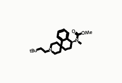 COC(=O)N(C)[C@H]1CCC2(CCN(CCC(C)(C)C)CC2)c2ccccc21